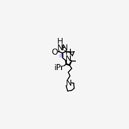 Cc1[nH]c(/C=C2/C(=O)NN=C2C2CC2)c(C(C)C)c1CCCCN1CCCCC1